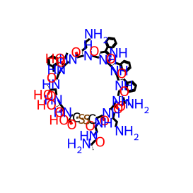 CC(O)[C@@H]1NC(=O)[C@H](CCCCN)NC(=O)[C@H](Cc2c[nH]c3ccccc23)NC(=O)[C@H](Cc2ccccc2)NC(=O)[C@H](Cc2ccccc2)NC(=O)[C@H](CC(N)=O)NC(=O)[C@H](CCCCN)NC(=O)[C@@H](NC(=O)CNC(=O)[C@H](C)N)CSSC[C@@H](C(=O)O)NC(=O)[C@H](CO)NC(=O)[C@H]([C@@H](C)O)NC(=O)[C@H](Cc2ccccc2)NC1=O